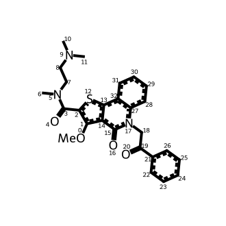 COc1c(C(=O)N(C)CCN(C)C)sc2c1c(=O)n(CC(=O)c1ccccc1)c1ccccc21